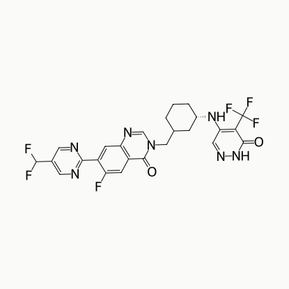 O=c1[nH]ncc(N[C@H]2CCCC(Cn3cnc4cc(-c5ncc(C(F)F)cn5)c(F)cc4c3=O)C2)c1C(F)(F)F